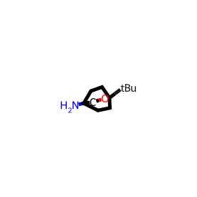 CC(C)(C)C12CCC(N)(CC1)CO2